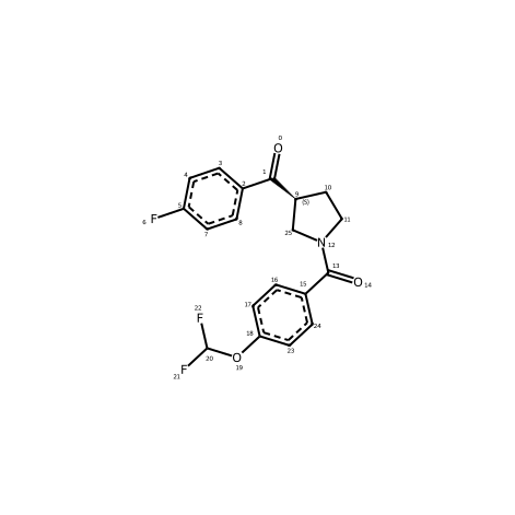 O=C(c1ccc(F)cc1)[C@H]1CCN(C(=O)c2ccc(OC(F)F)cc2)C1